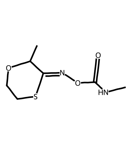 CNC(=O)ON=C1SCCOC1C